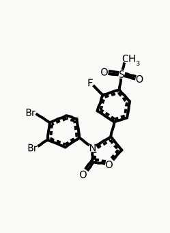 CS(=O)(=O)c1ccc(-c2coc(=O)n2-c2ccc(Br)c(Br)c2)cc1F